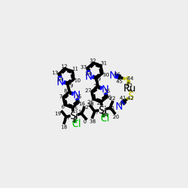 CC(C)[Si](Cl)(c1ccc(-c2ccccn2)nc1)C(C)C.CC(C)[Si](Cl)(c1ccc(-c2ccccn2)nc1)C(C)C.N#C[S][Ru][S]C#N